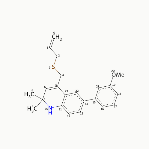 C=CCSCC1=CC(C)(C)Nc2ccc(-c3cccc(OC)c3)cc21